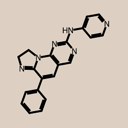 C1=C(c2ccccc2)C2=NCCN2c2nc(Nc3ccncc3)ncc21